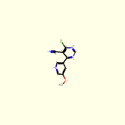 COc1cncc(-c2ncnc(Cl)c2C#N)c1